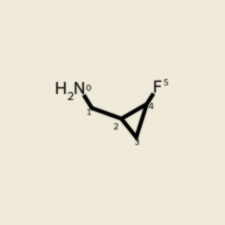 NCC1CC1F